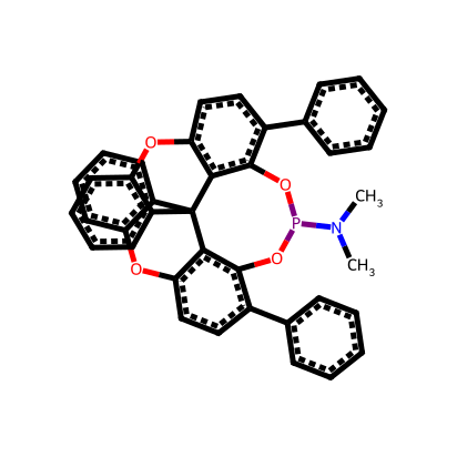 CN(C)P1Oc2c(-c3ccccc3)ccc3c2C2(c4ccccc4O3)c3ccccc3Oc3ccc(-c4ccccc4)c(c32)O1